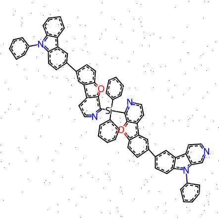 c1ccc(-n2c3ccccc3c3cc(-c4ccc5oc6c([Si](c7ccccc7)(c7ccccc7)c7nccc8c7oc7ccc(-c9ccc%10c(c9)c9ccncc9n%10-c9ccccc9)cc78)nccc6c5c4)ccc32)cc1